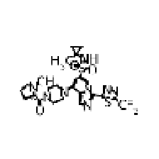 CN1CCC[C@@H]1C(=O)N1CCN(c2cc(S(=O)(=O)NC3(C)CC3)cn3c(-c4nnc(C(F)(F)F)s4)ncc23)CC1